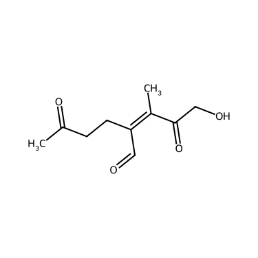 CC(=O)CC/C(C=O)=C(\C)C(=O)CO